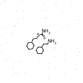 NC(=S)SCCC1CCCCC1.NCCC1CCCCC1